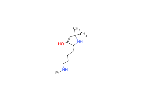 CC(C)NCCCC[C@H]1NC(C)(C)C=C1O